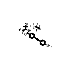 COC(=O)C(NC(=O)c1ccc(C#Cc2ccc(N)cc2)cc1)C(C)(C)N.O=C(O)C(F)(F)F